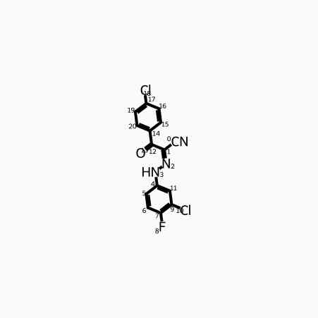 N#C/C(=N/Nc1ccc(F)c(Cl)c1)C(=O)c1ccc(Cl)cc1